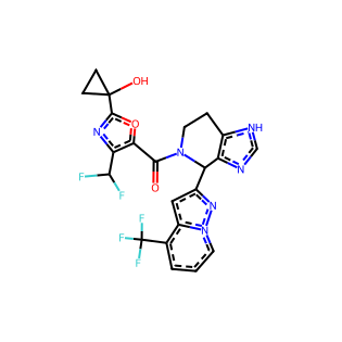 O=C(c1oc(C2(O)CC2)nc1C(F)F)N1CCc2[nH]cnc2C1c1cc2c(C(F)(F)F)cccn2n1